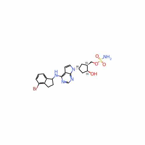 NS(=O)(=O)OC[C@@H]1C[C@@H](n2ccc3c(NC4CCc5c(Br)cccc54)ncnc32)C[C@@H]1O